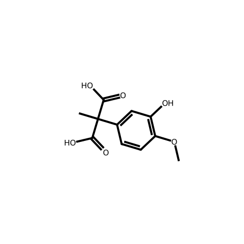 COc1ccc(C(C)(C(=O)O)C(=O)O)cc1O